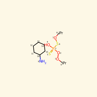 CC(C)OOP(O)(=S)SOC(C)C.NC1CCCCC1